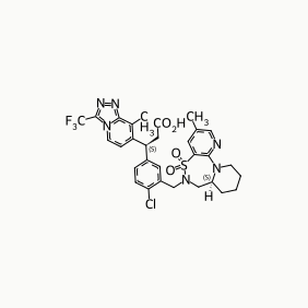 Cc1cnc2c(c1)S(=O)(=O)N(Cc1cc([C@H](CC(=O)O)c3ccn4c(C(F)(F)F)nnc4c3C)ccc1Cl)C[C@@H]1CCCCN21